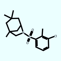 Cc1c(Cl)cccc1S(=O)(=O)N1CC2(C)CC1CC(C)(C)C2